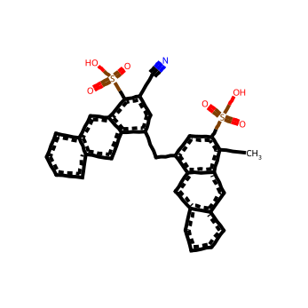 Cc1c(S(=O)(=O)O)cc(Cc2cc(C#N)c(S(=O)(=O)O)c3cc4ccccc4cc23)c2cc3ccccc3cc12